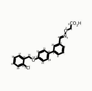 O=C(O)CON=Cc1cccc(-c2ccc(OCc3ccccc3Cl)cc2)c1